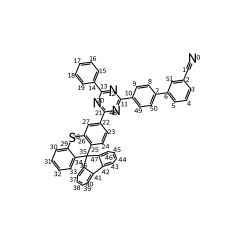 N#Cc1cccc(-c2ccc(-c3nc(-c4ccccc4)nc(-c4ccc5c(c4)Sc4ccccc4C54c5ccccc5-c5ccccc54)n3)cc2)c1